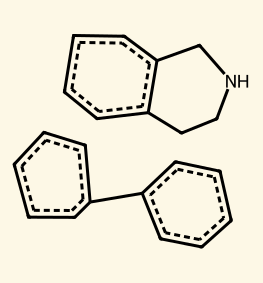 c1ccc(-c2ccccc2)cc1.c1ccc2c(c1)CCNC2